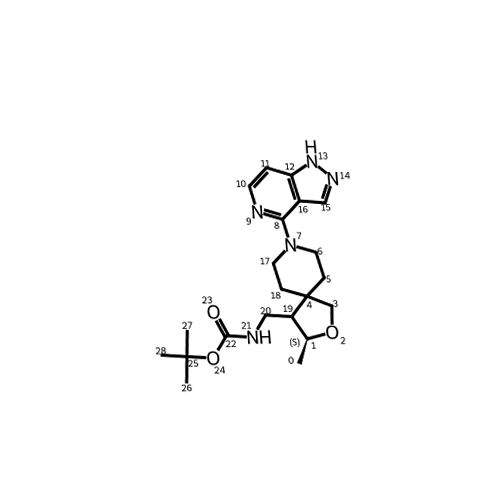 C[C@@H]1OCC2(CCN(c3nccc4[nH]ncc34)CC2)C1CNC(=O)OC(C)(C)C